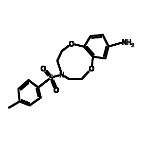 Cc1ccc(S(=O)(=O)N2CCOc3ccc(N)cc3OCC2)cc1